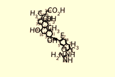 CC(=Cc1ccc(C#CC2(O)CCC3(C)C(CC(O)C4C3CC(O)C3(C)C(C(C)CCC(=O)O)CCC43)C2)c(F)c1)C(=O)NC(=N)N